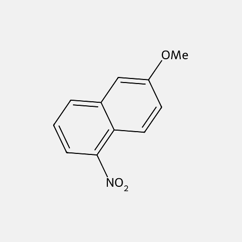 COc1ccc2c([N+](=O)[O-])cccc2c1